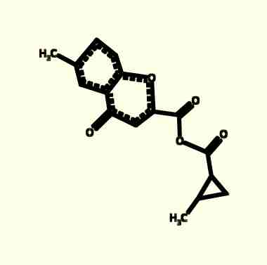 Cc1ccc2oc(C(=O)OC(=O)C3CC3C)cc(=O)c2c1